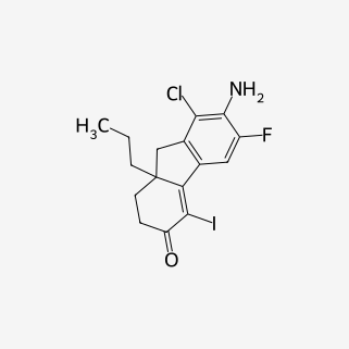 CCCC12CCC(=O)C(I)=C1c1cc(F)c(N)c(Cl)c1C2